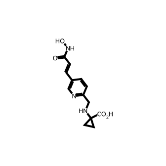 O=C(C=Cc1ccc(CNC2(C(=O)O)CC2)nc1)NO